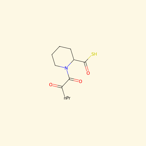 CCCC(=O)C(=O)N1CCCCC1C(=O)S